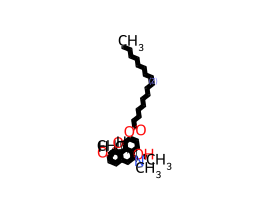 CCCCCCCC/C=C\CCCCCCCC(=O)OC1=CC[C@@]2(O)[C@H](N(C)CC)Cc3ccc(OC)c4c3[C@@]2(C)[C@H]1O4